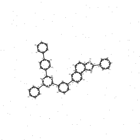 c1ccc(-c2ccc(-c3nc(-c4ccccc4)nc(-c4cccc(-c5ccc6c(ccc7oc(-c8ccccc8)nc76)c5)c4)n3)cc2)cc1